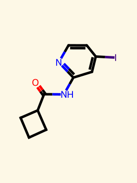 O=C(Nc1cc(I)ccn1)C1CCC1